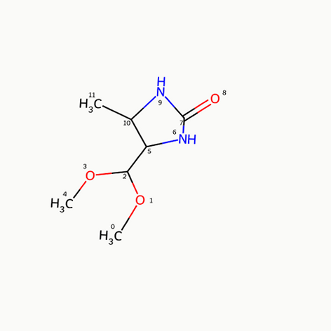 COC(OC)C1NC(=O)NC1C